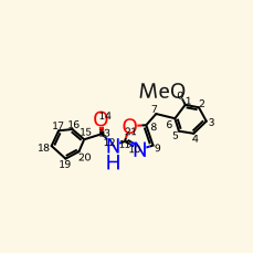 COc1ccccc1Cc1cnc(NC(=O)c2ccccc2)o1